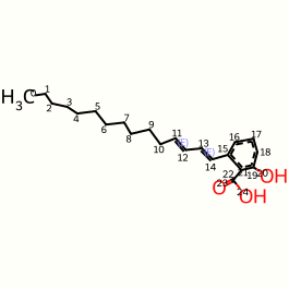 CCCCCCCCCCC/C=C/C=C/c1cccc(O)c1C(=O)O